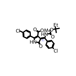 CCC(C)(C)OC(=O)N/C(=C1/C(=O)NC(c2ccc(Cl)cc2)=C1C(=O)OC)c1ccc(Cl)cc1